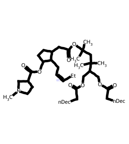 CC/C=C\CC1C(CC(=O)OC(C)(C)CC(C)(C)C(COC(=O)CCCCCCCCCCC)COC(=O)CCCCCCCCCCC)CCC1OC(=O)C1CCN(C)C1